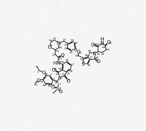 CCOc1cc([C@@H](CS(C)(=O)=O)N2C(=O)c3cccc(NC(=O)CC4CN(Cc5ccc(OCc6scc7c6CN(C6CCC(=O)NC6=O)C7=O)cc5)CCO4)c3C2=O)ccc1OC